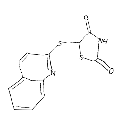 O=C1NC(=O)C(Sc2ccc3ccccc3n2)S1